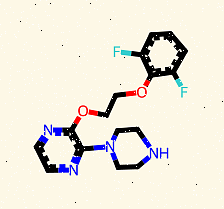 Fc1cccc(F)c1OCCOc1nccnc1N1CCNCC1